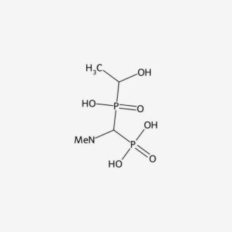 CNC(P(=O)(O)O)P(=O)(O)C(C)O